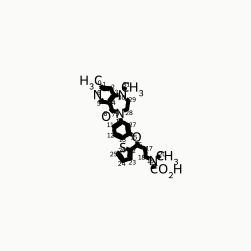 Cc1cc2c(cn1)C(=O)N(c1cccc(OC(CCN(C)C(=O)O)c3cccs3)c1)CCN2C